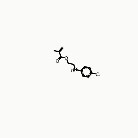 C=C(C)C(=O)OCCNc1ccc(Cl)cc1